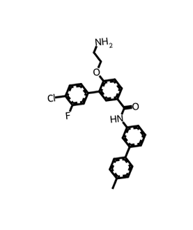 Cc1ccc(-c2cccc(NC(=O)c3ccc(OCCN)c(-c4ccc(Cl)c(F)c4)c3)c2)cc1